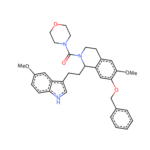 COc1ccc2[nH]cc(CCC3c4cc(OCc5ccccc5)c(OC)cc4CCN3C(=O)N3CCOCC3)c2c1